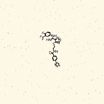 N=C(Nc1ccc(F)c(C(F)F)c1)c1nonc1SCCNC(=O)c1ccc(-n2cnnn2)cc1